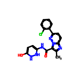 Cc1nc2ccc(-c3ccccc3Cl)nn2c1C(=O)NC1=CC=C(O)NN1